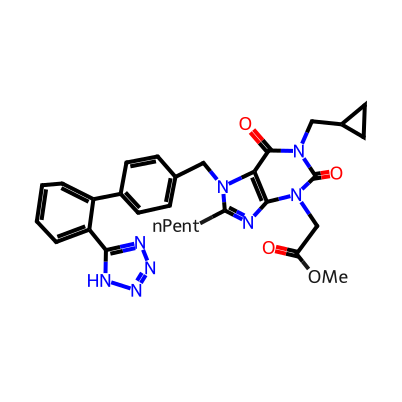 CCCCCc1nc2c(c(=O)n(CC3CC3)c(=O)n2CC(=O)OC)n1Cc1ccc(-c2ccccc2-c2nnn[nH]2)cc1